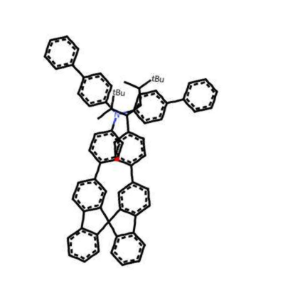 CC(CC(c1ccc(-c2ccc3c(c2)C2(c4ccccc4-3)c3ccccc3-c3ccc(-c4ccc(N(c5ccc(-c6ccccc6)cc5)c5ccc(-c6ccccc6)cc5)cc4)cc32)cc1)C(C)C(C)(C)C)C(C)(C)C